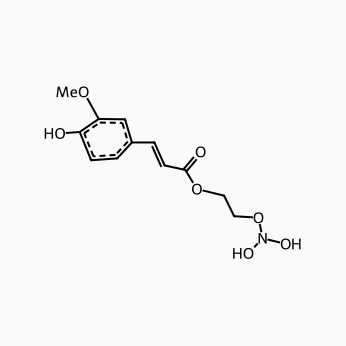 COc1cc(/C=C/C(=O)OCCON(O)O)ccc1O